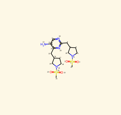 CS(=O)(=O)N1CCC(Cc2ncc(N)c(CC3CCN(S(C)(=O)=O)C3)n2)C1